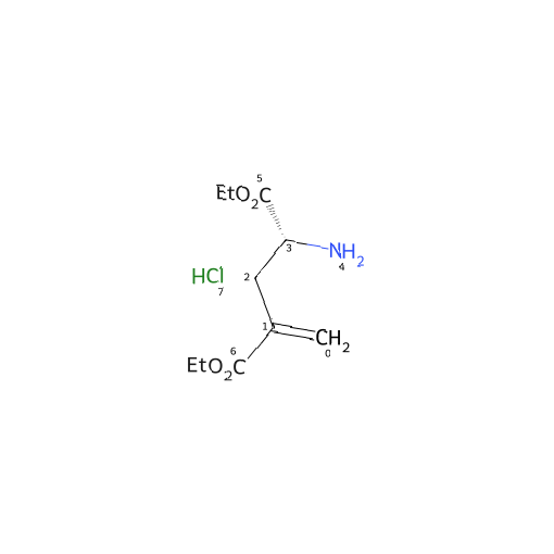 C=C(C[C@@H](N)C(=O)OCC)C(=O)OCC.Cl